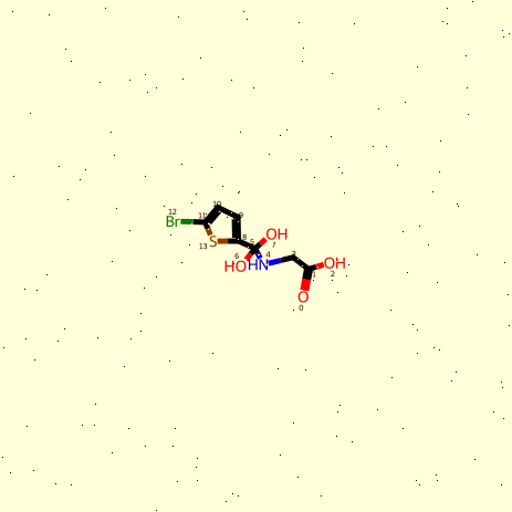 O=C(O)CNC(O)(O)c1ccc(Br)s1